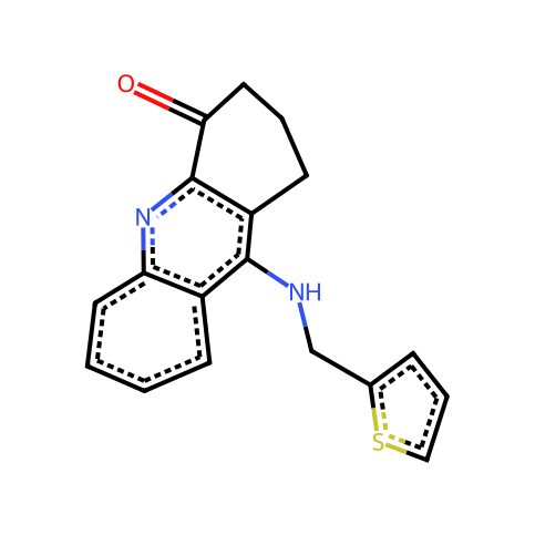 O=C1CCCc2c1nc1ccccc1c2NCc1cccs1